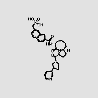 O=C(N[C@H]1CCCC[C@H]2CC[C@@H](C(=O)N3CCC(c4cccnc4)C3)N2C1=O)c1ccc2ccc(CP(=O)(O)O)cc2c1